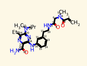 C=CC(=O)N(C)CC(=O)NCCc1cccc(Nc2nc(N(C)C(C)C)c(CC)nc2C(N)=O)c1